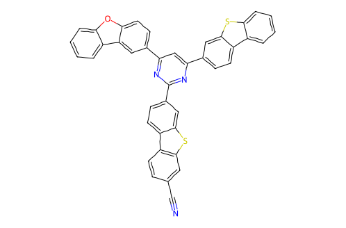 N#Cc1ccc2c(c1)sc1cc(-c3nc(-c4ccc5c(c4)sc4ccccc45)cc(-c4ccc5oc6ccccc6c5c4)n3)ccc12